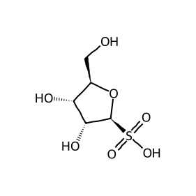 O=S(=O)(O)[C@@H]1O[C@H](CO)[C@@H](O)[C@H]1O